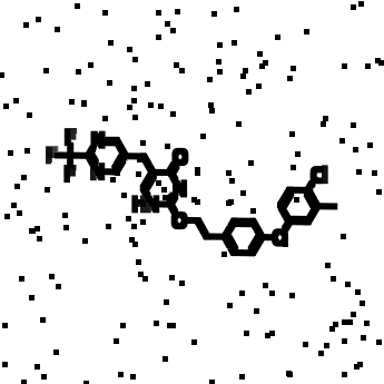 Cc1cc(Oc2ccc(CCOc3nc(=O)c(Cc4cnc(C(F)(F)F)nc4)c[nH]3)cc2)ccc1Cl